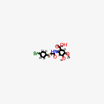 COc1cc(NC(=O)CSc2ccc(Br)cc2)c(C(=O)O)cc1OC